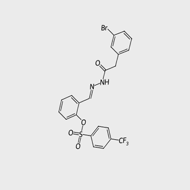 O=C(Cc1cccc(Br)c1)NN=Cc1ccccc1OS(=O)(=O)c1ccc(C(F)(F)F)cc1